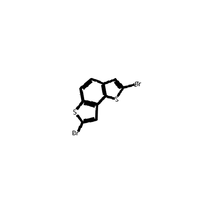 Brc1cc2c(ccc3cc(Br)sc32)s1